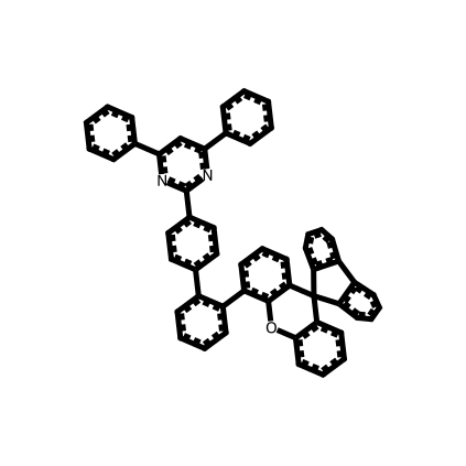 c1ccc(-c2cc(-c3ccccc3)nc(-c3ccc(-c4ccccc4-c4cccc5c4Oc4ccccc4C54c5ccccc5-c5ccccc54)cc3)n2)cc1